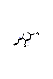 C=C/C=C(C)\C(S)=C/C(C)C(C)C